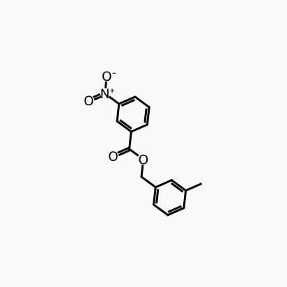 Cc1cccc(COC(=O)c2cccc([N+](=O)[O-])c2)c1